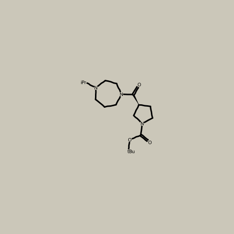 CC(C)N1CCCN(C(=O)[C@H]2CCN(C(=O)OC(C)(C)C)C2)CC1